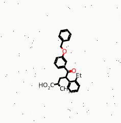 CCc1ccccc1C(CC(C)C(=O)O)C(=O)c1cccc(OCc2ccccc2)c1